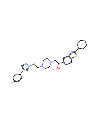 OC(CN1CCN(CCn2cc(-c3ccc(F)cc3)cn2)CC1)c1ccc2sc(C3CCCCC3)nc2c1